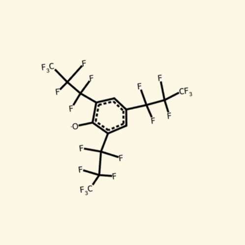 [O]c1c(C(F)(F)C(F)(F)C(F)(F)F)cc(C(F)(F)C(F)(F)C(F)(F)F)cc1C(F)(F)C(F)(F)C(F)(F)F